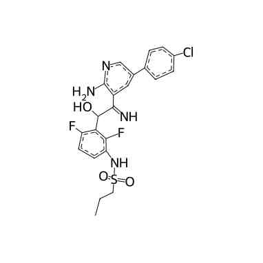 CCCS(=O)(=O)Nc1ccc(F)c(C(O)C(=N)c2cc(-c3ccc(Cl)cc3)cnc2N)c1F